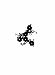 CNC(=O)c1c(-c2ccc(F)cc2)oc2cc(N(Cc3cccnc3)S(C)(=O)=O)c(-c3ccc(OC)c(-c4nc5c(F)cc(F)cc5o4)c3)cc12